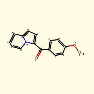 COc1ccc(C(=O)c2ccc3ccccn23)cc1